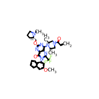 C=CC(=O)N1C[C@H](C)N(c2nc(OC[C@@H]3CCCN3C)nc3c(=O)n(-c4cc(OC)cc5ccccc45)c(C(F)(F)F)nc23)[C@@H](C)C1